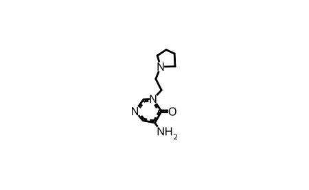 Nc1cncn(CCN2CCCC2)c1=O